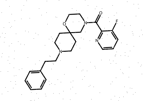 O=C(c1ncccc1F)N1CCOC2(CCN(CCc3ccccc3)CC2)C1